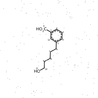 O=C(O)c1cccc(CCCCCO)c1